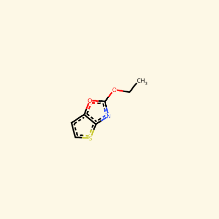 CCOc1nc2sccc2o1